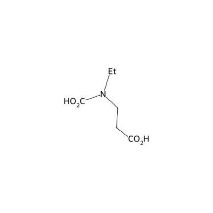 CCN(CCC(=O)O)C(=O)O